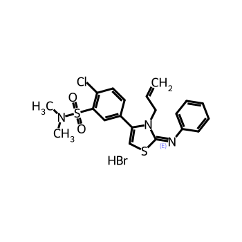 Br.C=CCn1c(-c2ccc(Cl)c(S(=O)(=O)N(C)C)c2)cs/c1=N/c1ccccc1